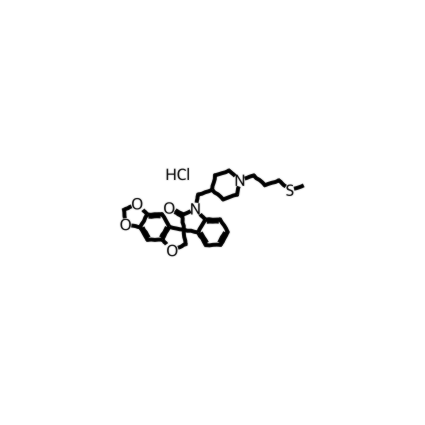 CSCCCN1CCC(CN2C(=O)C3(COc4cc5c(cc43)OCO5)c3ccccc32)CC1.Cl